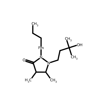 CC[CH2][Fm][N]1C(=O)C(C)C(C)N1CCC(C)(C)O